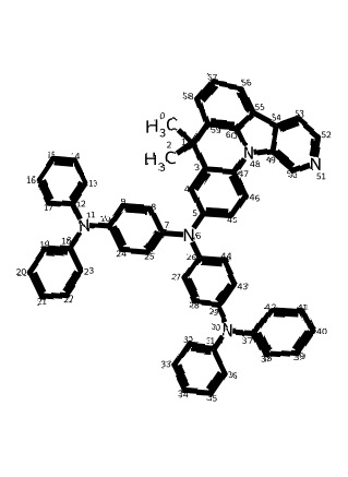 CC1(C)c2cc(N(c3ccc(N(c4ccccc4)c4ccccc4)cc3)c3ccc(N(c4ccccc4)c4ccccc4)cc3)ccc2-n2c3cnccc3c3cccc1c32